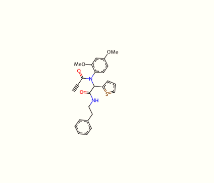 C#CC(=O)N(c1ccc(OC)cc1OC)C(C(=O)NCCc1ccccc1)c1cccs1